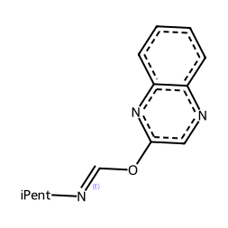 CCCC(C)/N=C/Oc1cnc2ccccc2n1